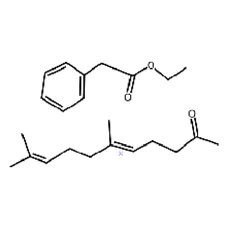 CC(=O)CC/C=C(\C)CCC=C(C)C.CCOC(=O)Cc1ccccc1